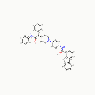 O=C(Nc1ccc(N2CCC(C(C(=O)Nc3ccccc3)c3ccccc3)CC2)cc1)c1cccc2c1Cc1ccccc1-2